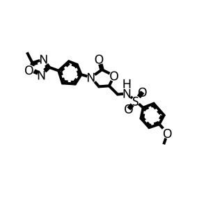 COc1ccc(S(=O)(=O)NCC2CN(c3ccc(-c4noc(C)n4)cc3)C(=O)O2)cc1